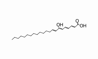 CCCCCCCCCCCCCC=CC(O)=CC=CC=CC(=O)O